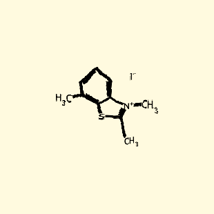 Cc1cccc2c1sc(C)[n+]2C.[I-]